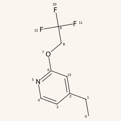 CCc1ccnc(OCC(F)(F)F)c1